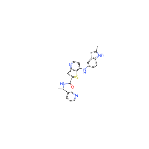 Cc1cc2cc(Nc3ccnc4cc(C(=O)NC(C)c5cccnc5)sc34)ccc2[nH]1